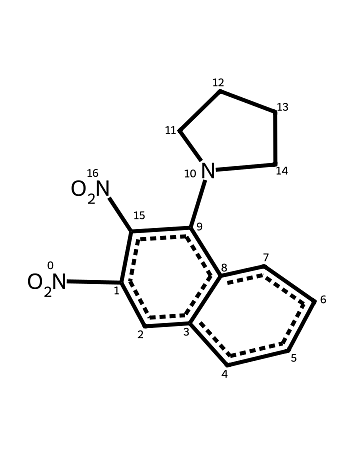 O=[N+]([O-])c1cc2ccccc2c(N2CCCC2)c1[N+](=O)[O-]